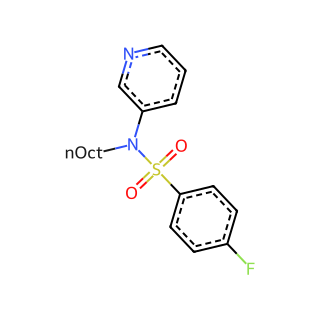 CCCCCCCCN(c1cccnc1)S(=O)(=O)c1ccc(F)cc1